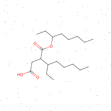 CCCCCC(CC)OC(=O)C(CC(=O)O)C(CC)CCCCC